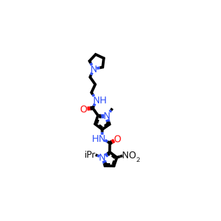 CC(C)n1ccc([N+](=O)[O-])c1C(=O)Nc1cc(C(=O)NCCCN2CCCC2)n(C)c1